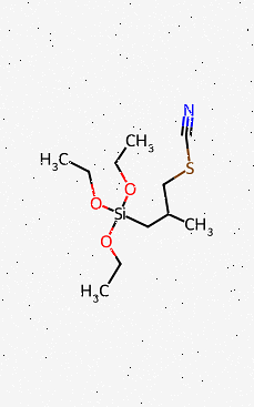 CCO[Si](CC(C)CSC#N)(OCC)OCC